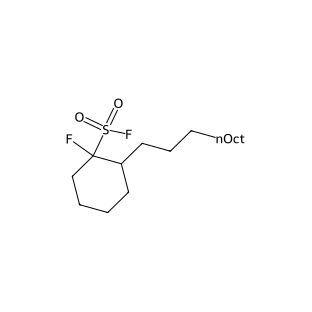 CCCCCCCCCCCC1CCCCC1(F)S(=O)(=O)F